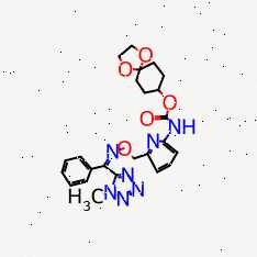 Cn1nnnc1/C(=N\OCc1cccc(NC(=O)OC2CCC3(CC2)OCCO3)n1)c1ccccc1